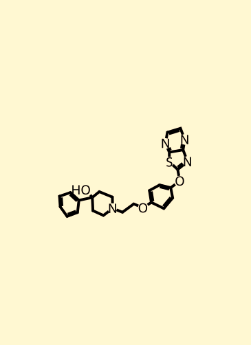 OC1(c2ccccc2)CCN(CCOc2ccc(Oc3nc4nccnc4s3)cc2)CC1